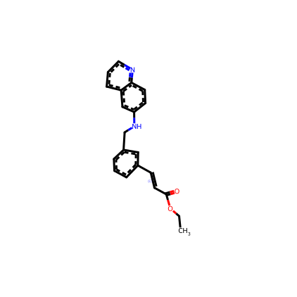 CCOC(=O)/C=C/c1cccc(CNc2ccc3ncccc3c2)c1